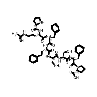 N=C(N)NCCC[C@H](NC(=O)[C@@H]1CCCN1)C(=O)N[C@@H](Cc1ccccc1)C(=O)N[C@@H](CCc1ccccc1)C(=O)N[C@@H](CN)C(=O)N[C@@H](CO)C(=O)N[C@@H](Cc1ccccc1)C(=O)N1CCC[C@@H]1C(=O)O